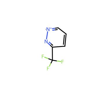 FC(F)(F)C1=N[N+]=CC=C1